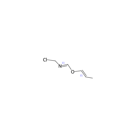 C/C=C/O/C=N/CCl